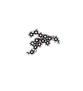 C=Cc1ccc(Oc2ccc(C3(c4c(F)cccc4F)C4=C(CCC=C4)c4ccc(N(c5cccc(-c6cccc(-c7ccccc7)c6)c5)c5ccc6c(c5)C(c5ccc(Oc7ccc(C=C)cc7)cc5)(c5c(F)cccc5F)c5ccccc5-6)cc43)cc2)cc1